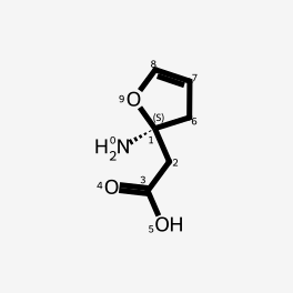 N[C@@]1(CC(=O)O)CC=CO1